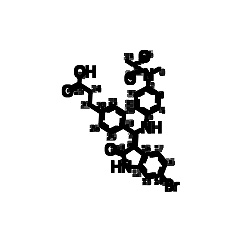 CN(c1ccc(NC(=C2C(=O)Nc3cc(Br)ccc32)c2ccc(CCC(=O)O)cc2)cc1)S(C)(=O)=O